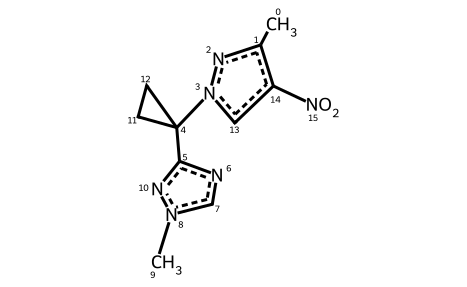 Cc1nn(C2(c3ncn(C)n3)CC2)cc1[N+](=O)[O-]